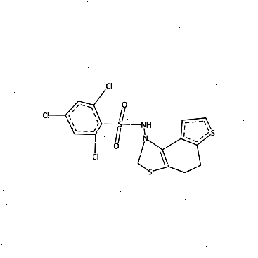 O=S(=O)(NN1CSC2=C1c1ccsc1CC2)c1c(Cl)cc(Cl)cc1Cl